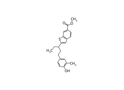 CCC(CCc1ccc(O)c(C)c1)c1cc2ccc(C(=O)OC)cc2s1